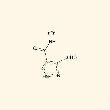 CCCNC(=O)c1c[nH]nc1C=O